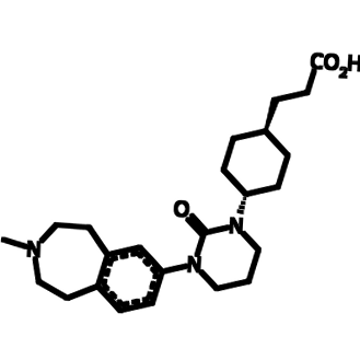 CN1CCc2ccc(N3CCCN([C@H]4CC[C@H](CCC(=O)O)CC4)C3=O)cc2CC1